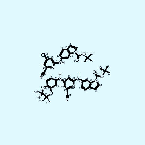 CC(C)(C)OC(=O)n1ccc2ccc(Nc3cc(Cl)cc(C#N)n3)cc21.CC(C)(C)OC(=O)n1ccc2ccc(Nc3cc(Nc4ccc5c(c4)OC(F)(F)C(F)(F)O5)cc(C#N)n3)cc21